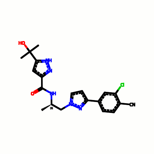 C[C@@H](Cn1ccc(-c2ccc(C#N)c(Cl)c2)n1)NC(=O)c1cc(C(C)(C)O)[nH]n1